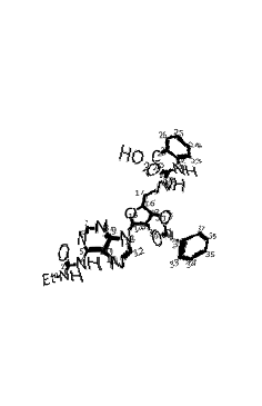 CCNC(=O)Nc1ncnc2c1ncn2C1OC(CNC(=O)Nc2ccccc2C(=O)O)C2O[C@H](c3ccccc3)OC21